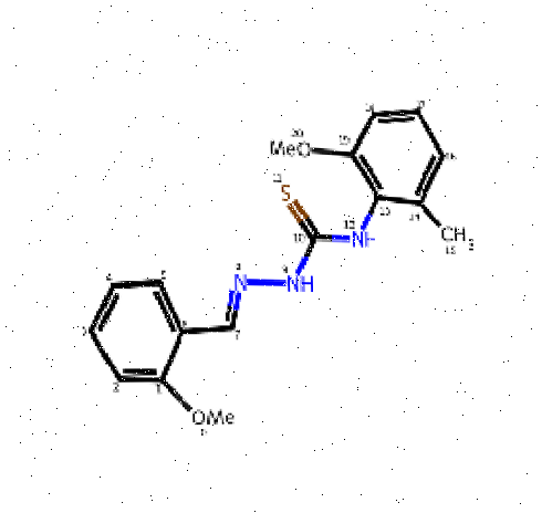 COc1ccccc1/C=N/NC(=S)Nc1c(C)cccc1OC